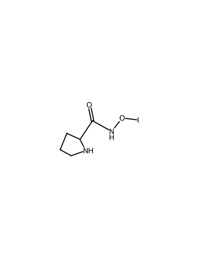 O=C(NOI)C1CCCN1